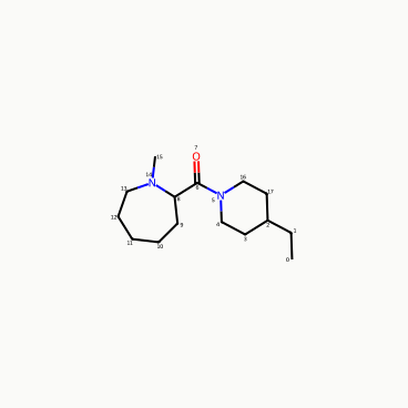 CCC1CCN(C(=O)C2CCCCCN2C)CC1